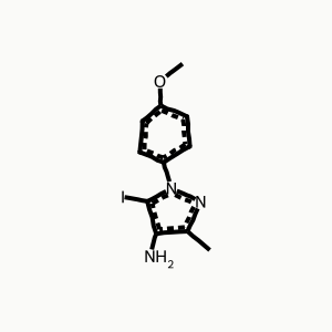 COc1ccc(-n2nc(C)c(N)c2I)cc1